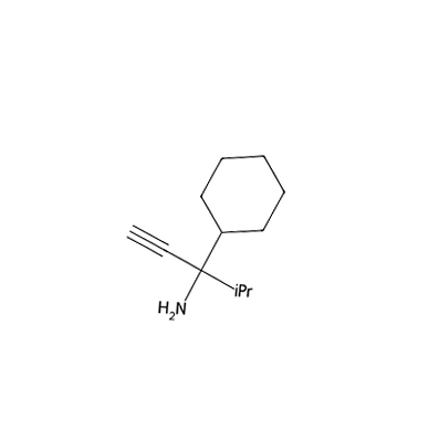 C#CC(N)(C(C)C)C1CCCCC1